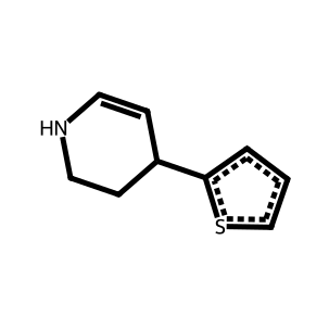 C1=CC(c2cccs2)CCN1